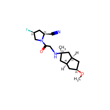 CO[C@@H]1C[C@@H]2C[C@](C)(NCC(=O)N3C[C@@H](F)C[C@H]3C#N)C[C@@H]2C1